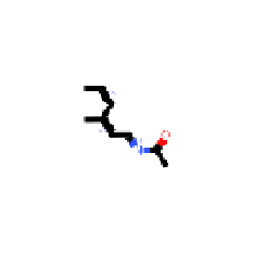 C\C=C/C(C)=C\C=N\C(C)=O